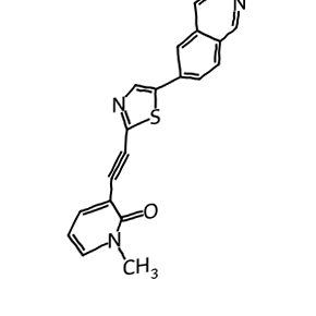 Cn1cccc(C#Cc2ncc(-c3ccc4cnccc4c3)s2)c1=O